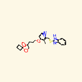 Cc1c(OCCCC2COC3(CCC3)O2)ccnc1CSc1nc2ccccc2[nH]1